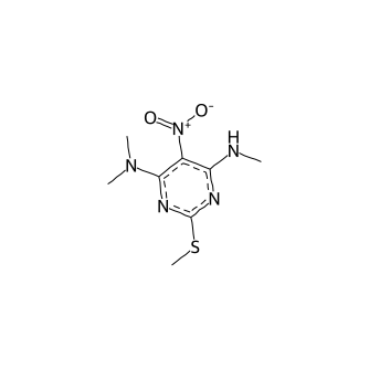 CNc1nc(SC)nc(N(C)C)c1[N+](=O)[O-]